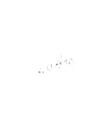 CNCc1ccc(CC(=O)NCCN2CCCCC2)cc1